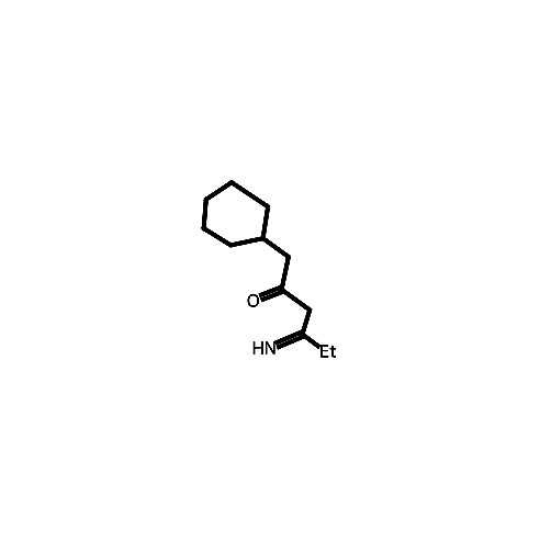 CCC(=N)CC(=O)CC1CCCCC1